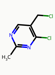 Cc1ncc(CCl)c(Cl)n1